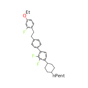 CCCCCC1CCC(c2ccc(-c3ccc(CCc4ccc(OCC)cc4F)cc3)c(F)c2F)CC1